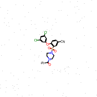 CC(C)C(=O)N1CCN(S(=O)(=O)c2cc(C#N)ccc2Oc2cc(Cl)cc(Cl)c2)CC1